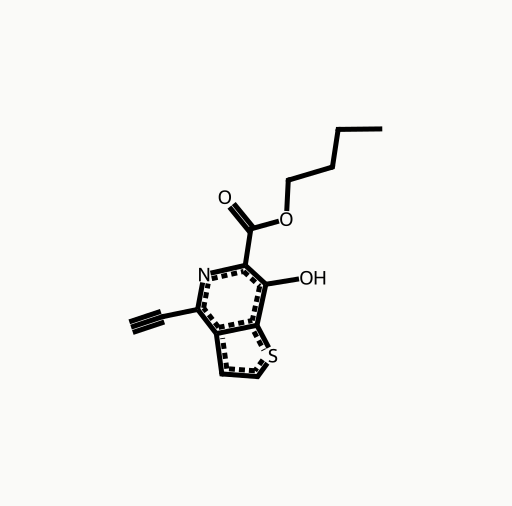 C#Cc1nc(C(=O)OCCCC)c(O)c2sccc12